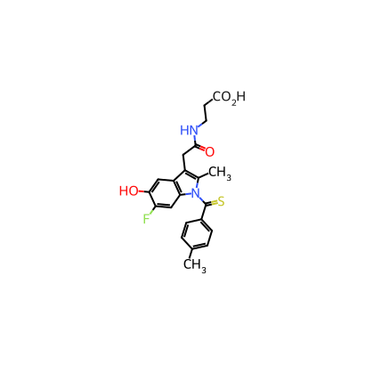 Cc1ccc(C(=S)n2c(C)c(CC(=O)NCCC(=O)O)c3cc(O)c(F)cc32)cc1